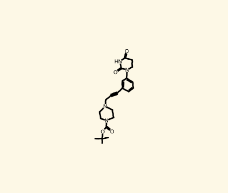 CC(C)(C)OC(=O)N1CCN(CC#Cc2cccc(N3CCC(=O)NC3=O)c2)CC1